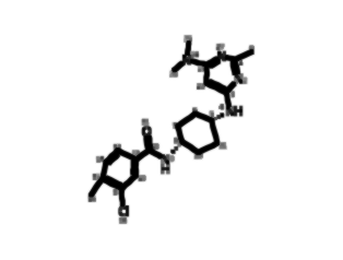 Cc1nc(N[C@H]2CC[C@@H](NC(=O)c3ccc(C)c(Cl)c3)CC2)cc(N(C)C)n1